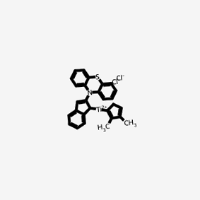 CC1=CC[C]([Ti+2][CH]2C(N3c4ccccc4Sc4ccccc43)=Cc3ccccc32)=C1C.[Cl-].[Cl-]